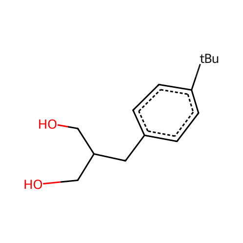 CC(C)(C)c1ccc(CC(CO)CO)cc1